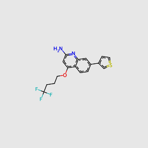 Nc1cc(OCCCC(F)(F)F)c2ccc(-c3ccsc3)cc2n1